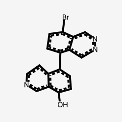 Oc1ccc(-c2ccc(Br)c3cnncc23)c2ccncc12